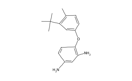 Cc1ccc(Oc2ccc(N)cc2N)cc1C(C)(C)C